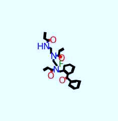 C=CC(=O)NCCN(CCN(CC1=C(C(=O)c2ccccc2)C=CCC1F)C(=O)C=C)C(=O)C=C